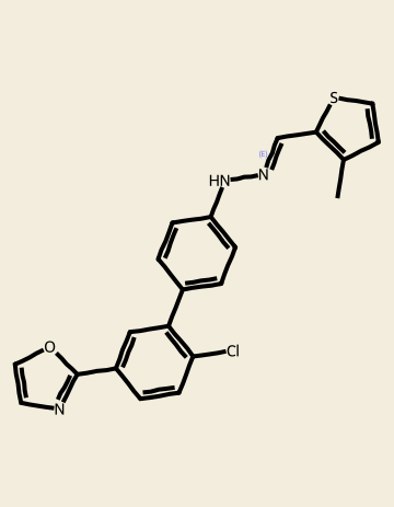 Cc1ccsc1/C=N/Nc1ccc(-c2cc(-c3ncco3)ccc2Cl)cc1